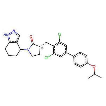 CC(C)Oc1ccc(-c2cc(Cl)c(C[C@@H]3CCN(C4CCCc5[nH]ncc54)C3=O)c(Cl)c2)cc1